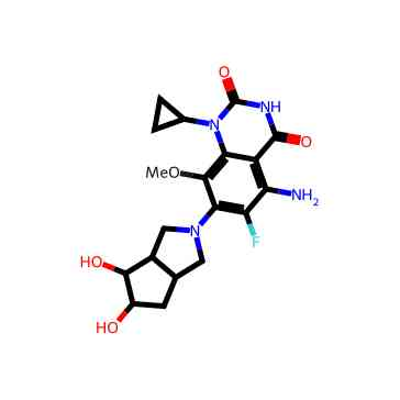 COc1c(N2CC3CC(O)C(O)C3C2)c(F)c(N)c2c(=O)[nH]c(=O)n(C3CC3)c12